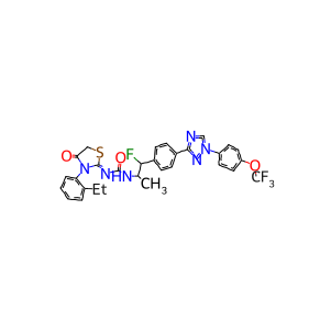 CCc1ccccc1N1C(=O)CS/C1=N\C(=O)NC(C)C(F)c1ccc(-c2ncn(-c3ccc(OC(F)(F)F)cc3)n2)cc1